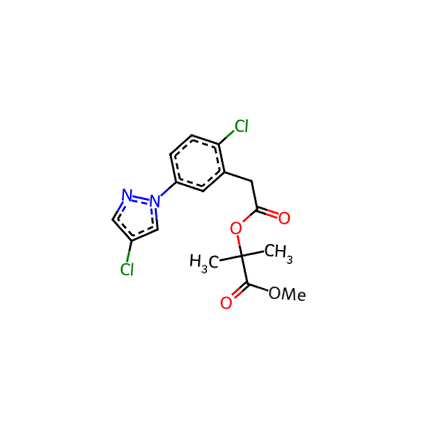 COC(=O)C(C)(C)OC(=O)Cc1cc(-n2cc(Cl)cn2)ccc1Cl